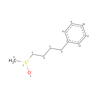 C[S+]([O-])CCCCc1ccccc1